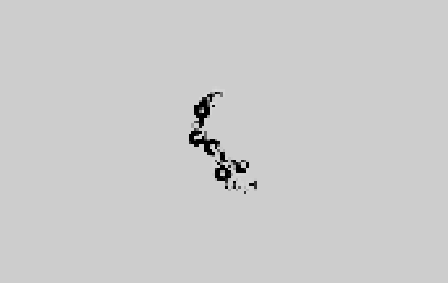 CC(C)n1cc2ccc(COc3cccc(C4CCN(Cc5nc6ccc(C(=O)O)cc6n5C[C@@H]5CCO5)CC4)n3)cc2n1